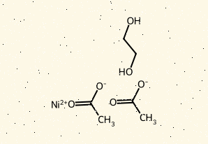 CC(=O)[O-].CC(=O)[O-].OCCO.[Ni+2]